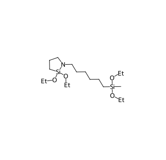 CCO[Si](C)(CCCCCCN1CCC[Si]1(OCC)OCC)OCC